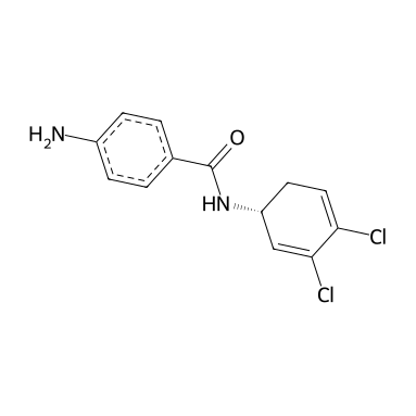 Nc1ccc(C(=O)N[C@H]2C=C(Cl)C(Cl)=CC2)cc1